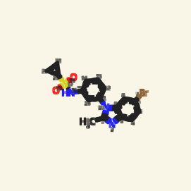 Cc1nc2ccc(Br)cc2n1-c1cccc(NS(=O)(=O)C2CC2)c1